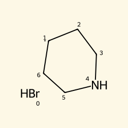 Br.[CH]1CCNCC1